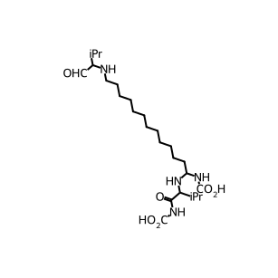 CC(C)C(C=O)NCCCCCCCCCCCCC(NC(=O)O)NC(C(=O)NC(=O)O)C(C)C